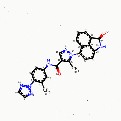 O=C(Nc1ccc(-n2nccn2)c(C(F)(F)F)c1)c1cnn(-c2ccc3c4c(cccc24)C(=O)N3)c1C(F)(F)F